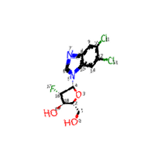 OC[C@H]1O[C@@H](n2cnc3cc(Cl)c(Cl)cc32)[C@@H](F)[C@@H]1O